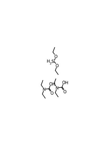 CCN(CC)C(=O)O.CCN(CC)C(=O)O.CCO[SiH2]OCC